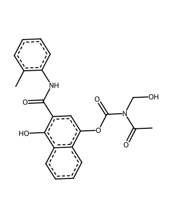 CC(=O)N(CO)C(=O)Oc1cc(C(=O)Nc2ccccc2C)c(O)c2ccccc12